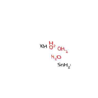 O.O.O.[KH].[SnH2]